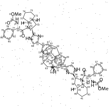 COC(=O)N[C@H](C(=O)N1[C@H](c2nc(-c3ccc(-c4cc5ccc4CCc4ccc(c(-c6ccc(-c7c[nH]c([C@@H]8C[C@@H]9CCCC[C@@H]9N8C(=O)[C@@H](NC(=O)OC)c8ccccc8)n7)cc6)c4)C[C@H]5C)cc3)c[nH]2)C[C@@H]2CCCC[C@@H]21)c1ccccc1